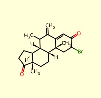 C=C1C2=CC(=O)C(Br)C[C@]2(C)[C@@H]2CC[C@]3(C)C(=O)CC[C@H]3[C@@H]2C1C